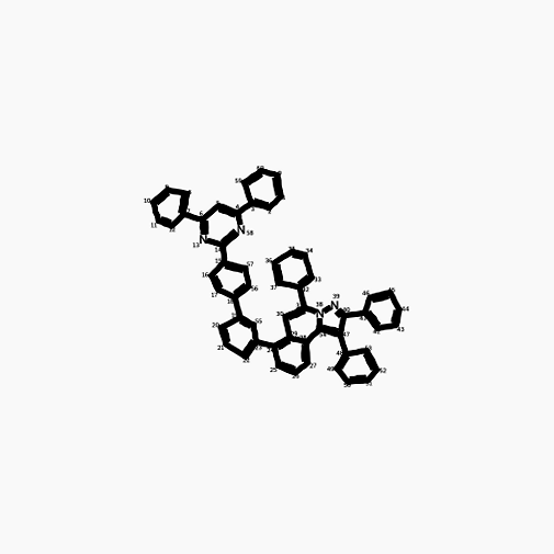 c1ccc(-c2cc(-c3ccccc3)nc(-c3ccc(-c4cccc(-c5cccc6c5cc(-c5ccccc5)n5nc(-c7ccccc7)c(-c7ccccc7)c65)c4)cc3)n2)cc1